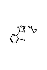 Brc1ccccc1-c1nsc(NC2CC2)n1